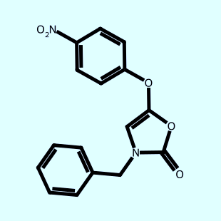 O=c1oc(Oc2ccc([N+](=O)[O-])cc2)cn1Cc1ccccc1